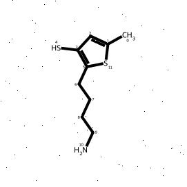 Cc1cc(S)c(CCCCN)s1